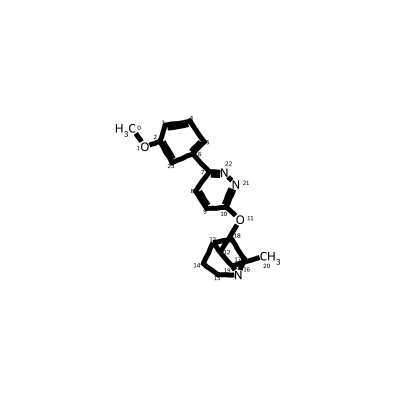 COc1cccc(-c2ccc(OC3C4CCN(CC4)C3C)nn2)c1